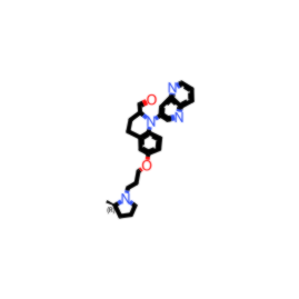 C[C@@H]1CCCN1CCCOc1ccc2c(c1)CCC(C=O)N2c1cnc2cccnc2c1